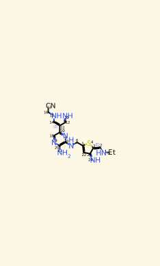 CCN/C=C1/SC(CNc2nc(/C(C=N)=C/NCC#N)cnc2N)=CC1=N